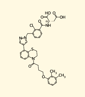 Cc1cccc(OCCCC(=O)N2CCSc3c(-c4cnn(Cc5cccc(C(=O)N[C@@H](CC(=O)O)C(=O)O)c5Cl)c4)cccc32)c1C